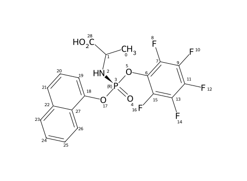 CC(N[P@](=O)(Oc1c(F)c(F)c(F)c(F)c1F)Oc1cccc2ccccc12)C(=O)O